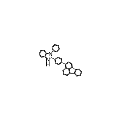 c1ccc(N2c3ccccc3NC2c2ccc(-c3ccc4c5c(cccc35)-c3ccccc3-4)cc2)cc1